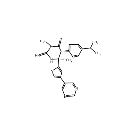 CC(C)c1ccc([C@@H]2C(=O)N(C)C(=N)N[C@]2(C)c2cc(-c3cncnc3)cs2)cc1